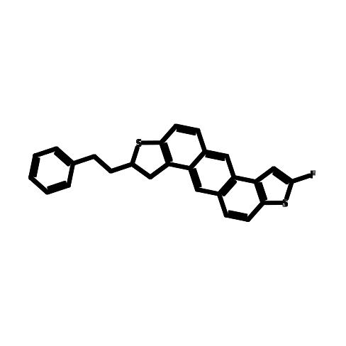 Fc1cc2c(ccc3cc4c5c(ccc4cc32)SC(CCc2ccccc2)C5)s1